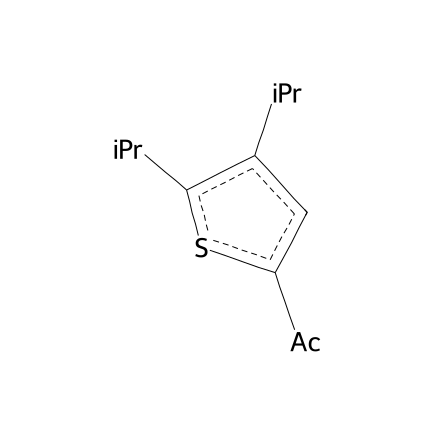 CC(=O)c1cc(C(C)C)c(C(C)C)s1